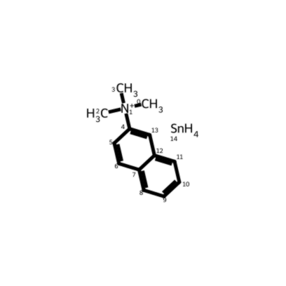 C[N+](C)(C)c1ccc2ccccc2c1.[SnH4]